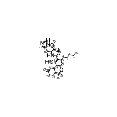 CCCCCc1cc2c(c(O)c1C(=O)NC(Cc1cnc[nH]1)C(=O)OC)C1C=C(C)CCC1C(C)(C)O2